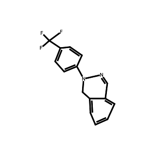 FC(F)(F)c1ccc(N2Cc3ccccc3C=N2)cc1